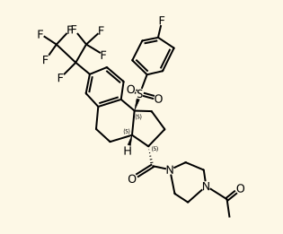 CC(=O)N1CCN(C(=O)[C@H]2CC[C@@]3(S(=O)(=O)c4ccc(F)cc4)c4ccc(C(F)(C(F)(F)F)C(F)(F)F)cc4CC[C@@H]23)CC1